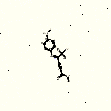 COC(=O)C#C/C(=N/c1ccc(OC)cc1)C(F)(F)F